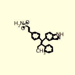 CCC(=C(c1ccc(C=CS(N)(=O)=O)cc1)c1ccc2[nH]ncc2c1)c1ccccc1